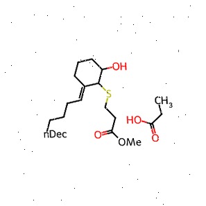 CCC(=O)O.CCCCCCCCCCCCCC=C1CCCC(O)C1SCCC(=O)OC